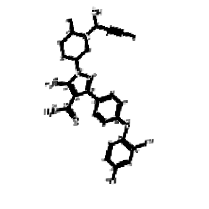 CC#CC(O)N1CC(n2nc(-c3ccc(Oc4ccc(Cl)cc4F)cc3)c(C(N)=O)c2N)CCC1C